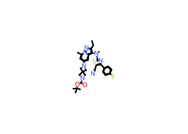 CCc1nn2c(C)cc(N3CC4(CN(C(=O)OC(C)(C)C)C4)C3)cc2c1N(C)c1nc(-c2ccc(F)cc2)c(C#N)s1